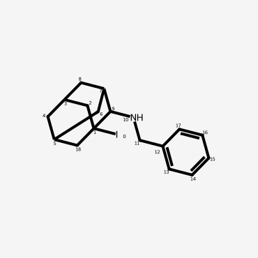 IC12CC3CC(CC(C3)C1NCc1ccccc1)C2